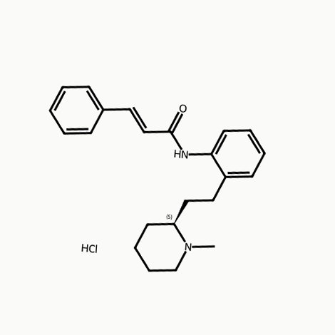 CN1CCCC[C@H]1CCc1ccccc1NC(=O)C=Cc1ccccc1.Cl